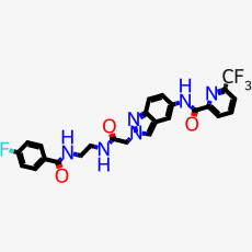 O=C(Cn1cc2cc(NC(=O)c3cccc(C(F)(F)F)n3)ccc2n1)NCCNC(=O)c1ccc(F)cc1